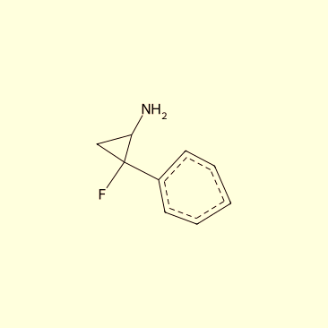 NC1CC1(F)c1ccccc1